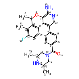 CC(Oc1cc(-c2ccc(C(=O)N3C[C@@H](C)N[C@@H](C)C3)cc2)cnc1N)c1cccc(F)c1C(F)(F)F